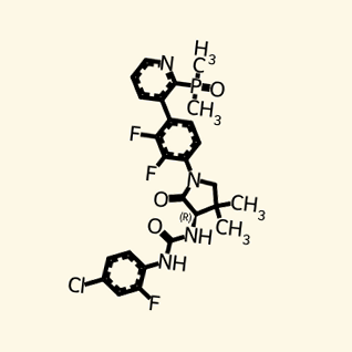 CC1(C)CN(c2ccc(-c3cccnc3P(C)(C)=O)c(F)c2F)C(=O)[C@@H]1NC(=O)Nc1ccc(Cl)cc1F